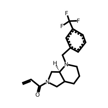 C=CC(=O)N1CC2CCCN(Cc3cccc(C(F)(F)F)c3)[C@@H]2C1